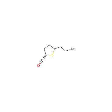 CC(=O)CCC1CCC(=C=O)S1